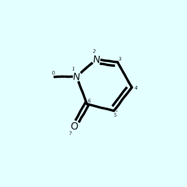 Cn1ncc[c]c1=O